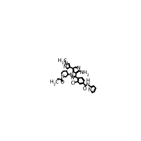 C=CC(=O)N1CCC[C@@H](n2nc(-c3ccc(C(=O)Nc4ccccn4)cc3Cl)c3c(N)ncc(-c4cnn(C)c4)c32)C1